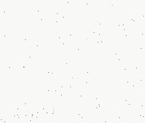 CC(=O)COCc1ccc(Oc2cccc(NC(C)C)c2)cc1